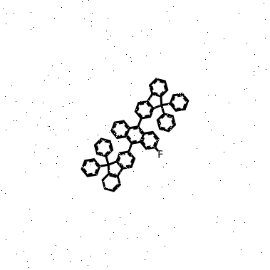 Fc1ccc2c(-c3ccc4c(c3)C(c3ccccc3)(c3ccccc3)c3ccccc3-4)c3ccccc3c(-c3ccc4c(c3)C(c3ccccc3)(c3ccccc3)C3=C4C=CCC3)c2c1